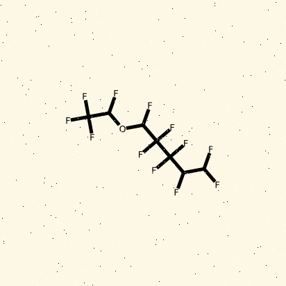 FC(F)C(F)C(F)(F)C(F)(F)C(F)OC(F)C(F)(F)F